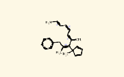 C/C(Cc1ccccc1)=C(/C(C)=C/C=C\C=C\N)C1(C)C=CC=C1